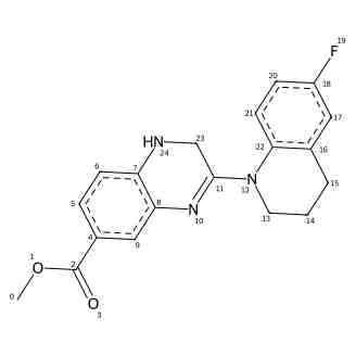 COC(=O)c1ccc2c(c1)N=C(N1CCCc3cc(F)ccc31)CN2